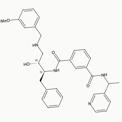 COc1cccc(CNC[C@@H](O)[C@H](Cc2ccccc2)NC(=O)c2cccc(C(=O)NC(C)c3cccnc3)c2)c1